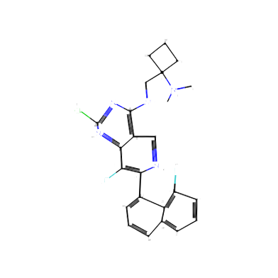 CN(C)C1(CNc2nc(Cl)nc3c(F)c(-c4cccc5cccc(F)c45)ncc23)CCC1